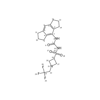 O=C(Nc1c2c(cc3c1CCC3)CCC2)NS(=O)(=O)C1CN(CC(F)(F)F)C1